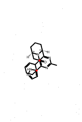 Cc1nc(-c2ccn[nH]2)c2c(n1)[C@@H]1CCC[C@H](C2)N1C(=O)C1C=CCCC1